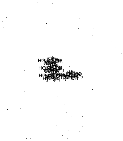 C[C@]12CCC(=O)C=C1CC[C@@H]1[C@@H]2[C@@H](O)C[C@@]2(C)[C@H]1CC[C@]2(O)C(=O)CO.C[C@]12CCC(=O)C=C1CC[C@@H]1[C@@H]2[C@@H](O)C[C@@]2(C)[C@H]1CC[C@]2(O)C(=O)CO.C[C@]12CCC(=O)C=C1CC[C@@H]1[C@@H]2[C@@H](O)C[C@@]2(C)[C@H]1CC[C@]2(O)C(=O)CO.C[C@]12CCC(=O)C=C1CC[C@@H]1[C@@H]2[C@@H](O)C[C@@]2(C)[C@H]1CC[C@]2(O)C(=O)CO